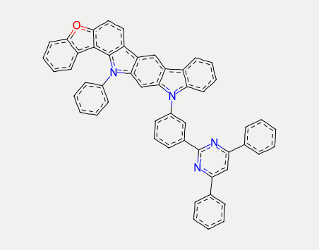 c1ccc(-c2cc(-c3ccccc3)nc(-c3cccc(-n4c5ccccc5c5cc6c7ccc8oc9ccccc9c8c7n(-c7ccccc7)c6cc54)c3)n2)cc1